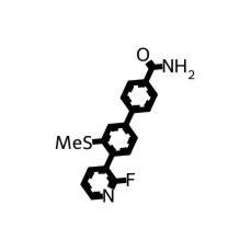 CSc1cc(-c2ccc(C(N)=O)cc2)ccc1-c1cccnc1F